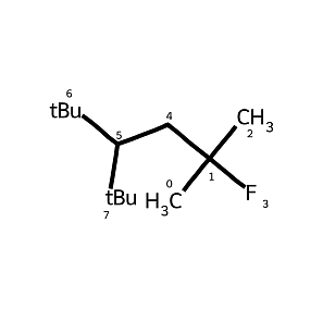 CC(C)(F)CC(C(C)(C)C)C(C)(C)C